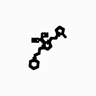 C[C@@H]1CCCN1CCN1CCN(CCCN2CCCCC2)C1=C(C#N)C#N